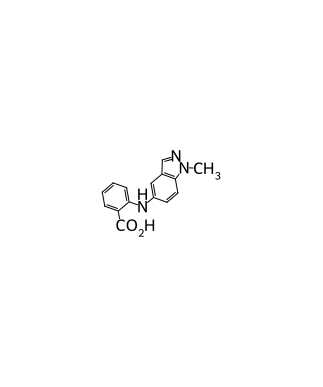 Cn1ncc2cc(Nc3ccccc3C(=O)O)ccc21